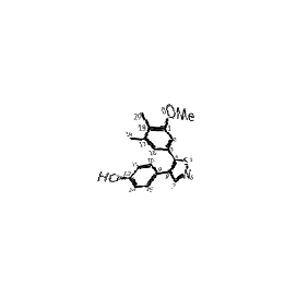 COc1cc(-c2sncc2-c2ccc(O)cc2)cc(C)c1C